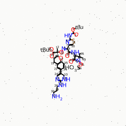 CC(C)(C)OC(=O)Nc1nc(/C(=N/OC(C)(C(=O)OC(C)(C)C)[C@H]2CCc3cc(C4=CN=C(NCCCN)NC4)ccc3O2)C(=O)N[C@@H]2C(=O)N(OS(=O)(=O)O)C2(C)C)cs1